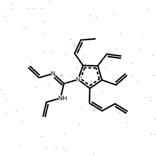 C=C/C=C\c1c(C=C)c(C=C)c(/C=C\C)n1/C(=N/C=C)NC=C